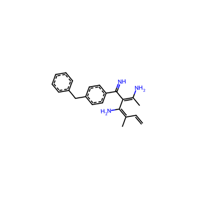 C=C/C(C)=C(N)\C(C(=N)c1ccc(Cc2ccccc2)cc1)=C(/C)N